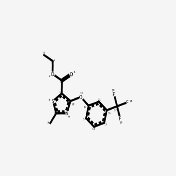 CCOC(=O)c1sc(C)nc1Oc1cccc(C(F)(F)F)c1